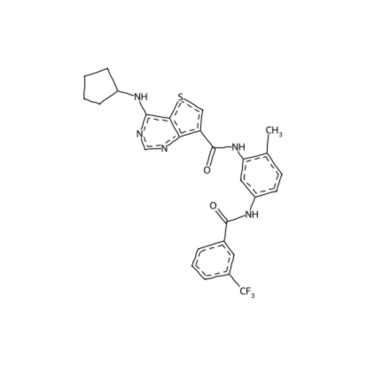 Cc1ccc(NC(=O)c2cccc(C(F)(F)F)c2)cc1NC(=O)c1csc2c(NC3CCCC3)ncnc12